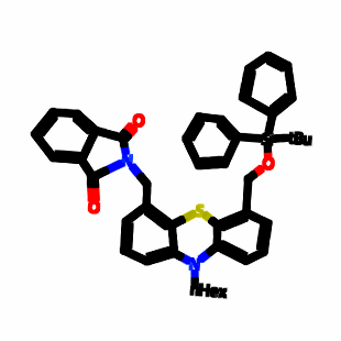 CCCCCCN1c2cccc(CO[Si](c3ccccc3)(c3ccccc3)C(C)(C)C)c2Sc2c(CN3C(=O)c4ccccc4C3=O)cccc21